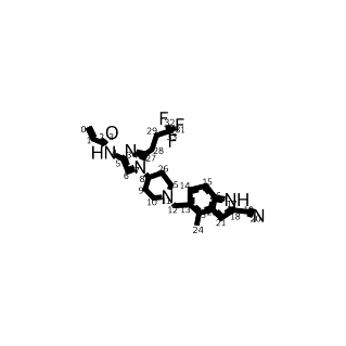 C=CC(=O)Nc1cn(C2CCN(Cc3ccc4[nH]c(C#N)cc4c3C)CC2)c(CCC(F)(F)F)n1